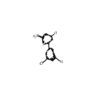 Nc1cc(Cl)cc(-c2cc(Cl)cc(Cl)c2)n1